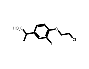 CC(C(=O)O)c1ccc(OCCCl)c(I)c1